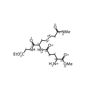 CCOC(=O)CNC(=O)C(CSSCC(=O)NC)NC(=O)CCC(N)C(=O)OC